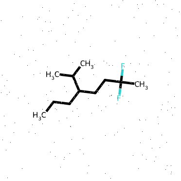 CCCC(CCC(C)(F)F)C(C)C